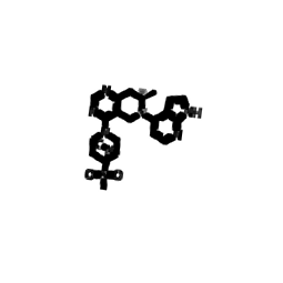 C[C@@H]1Cc2ncnc(N3CC4CCC3CN4S(C)(=O)=O)c2CN1c1ccnc2[nH]ccc12